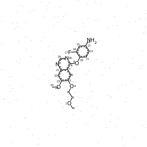 COCCOc1cc2c(Oc3ccc(N)cc3F)ncnc2cc1OC